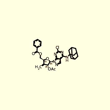 C=C1[C@@H](OC(C)=O)[C@H](n2ncc3c(NC45CC6CC(CC(C6)C4)C5)nc(Cl)nc32)O[C@@H]1COC(=O)c1ccccc1